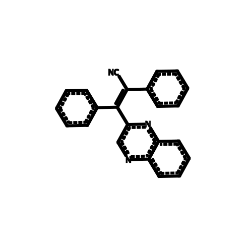 N#CC(=C(c1ccccc1)c1cnc2ccccc2n1)c1ccccc1